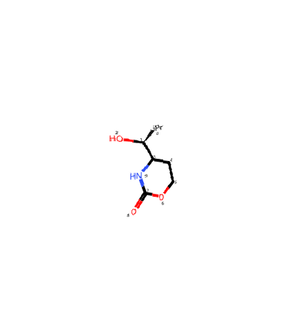 CC(C)[C@H](O)C1CCOC(=O)N1